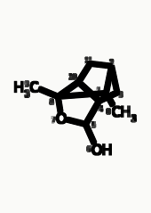 CC1C2CC3C(O)OC1(C)C3C2